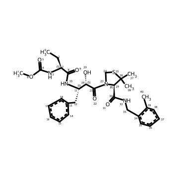 CC[C@H](NC(=O)OC)C(=O)N[C@@H](Cc1ccccc1)[C@H](O)C(=O)N1CSC(C)(C)[C@H]1C(=O)NCc1ccccc1C